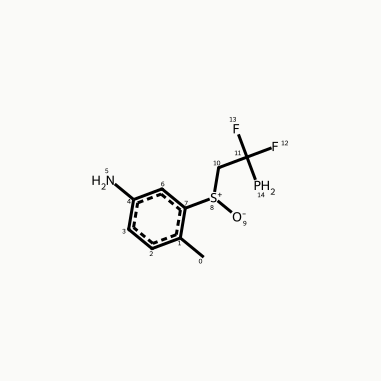 Cc1ccc(N)cc1[S+]([O-])CC(F)(F)P